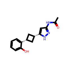 CC(=O)Nc1cc([C@H]2C[C@@H](c3ccccc3O)C2)[nH]n1